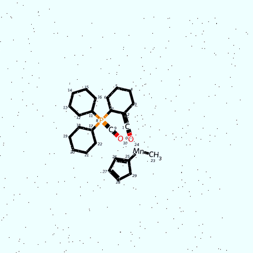 O=C=C1CCCCC1P(=C=O)(C1CCCCC1)C1CCCCC1.[CH3][Mn][C]1=CC=CC1